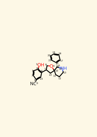 N#Cc1ccc(O)c(C2COC3(CCCN[C@H]3c3ccccc3)C2)c1